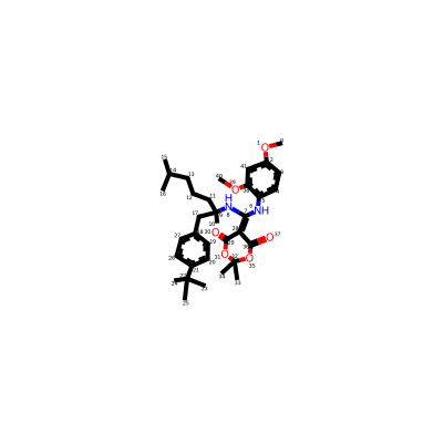 COc1ccc(NC(NC(C)(CCCC(C)C)Cc2ccc(C(C)(C)C)cc2)=C2C(=O)OC(C)(C)OC2=O)c(OC)c1